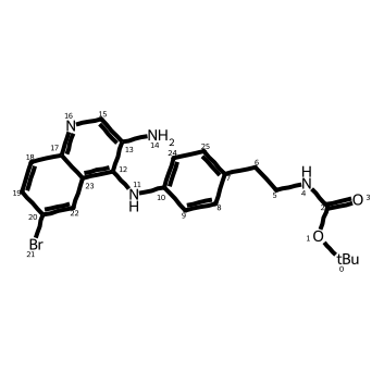 CC(C)(C)OC(=O)NCCc1ccc(Nc2c(N)cnc3ccc(Br)cc23)cc1